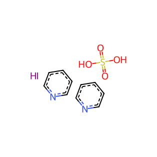 I.O=S(=O)(O)O.c1ccncc1.c1ccncc1